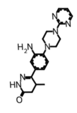 CC1CC(=O)NN=C1c1ccc(N2CCN(c3ncccn3)CC2)c(N)c1